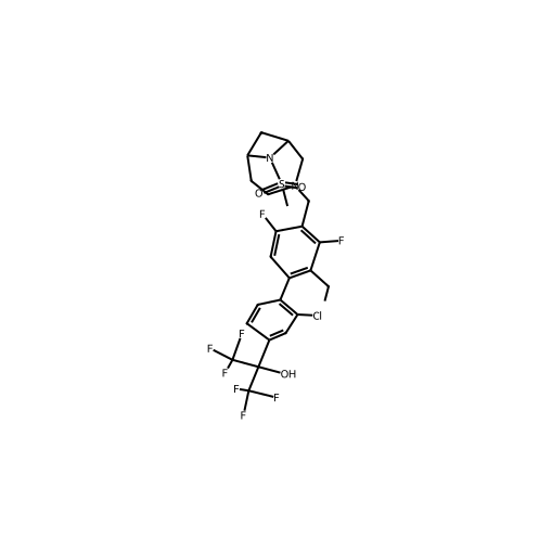 CCc1c(-c2ccc(C(O)(C(F)(F)F)C(F)(F)F)cc2Cl)cc(F)c(CN2CCC3CC(C2)N3S(C)(=O)=O)c1F